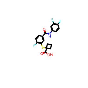 O=C(Nc1ccc(F)c(F)c1)c1ccc(F)c(SC2(C(=O)O)CCC2)c1